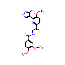 COc1ccc(C(=O)NCC(=O)c2ccc(OC)c(-c3c[nH]nc3C)n2)cc1OC